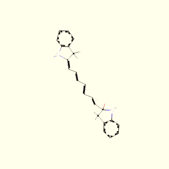 CCN1/C(=C/C=C/C=C/C=C/C2(O)N(CC)c3ccccc3C2(C)C)C(C)(C)c2ccccc21